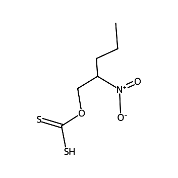 CCCC(COC(=S)S)[N+](=O)[O-]